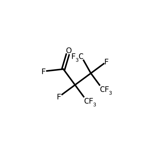 O=C(F)C(F)(C(F)(F)F)C(F)(C(F)(F)F)C(F)(F)F